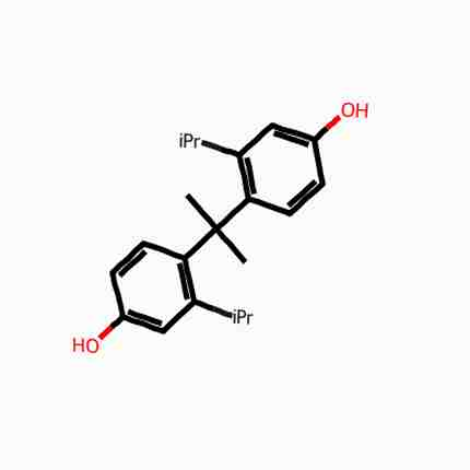 CC(C)c1cc(O)ccc1C(C)(C)c1ccc(O)cc1C(C)C